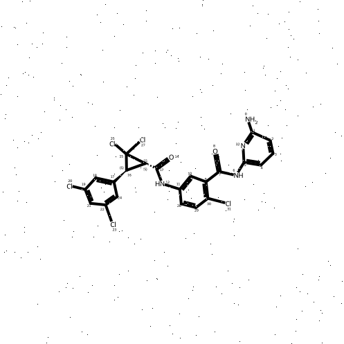 Nc1cccc(NC(=O)c2cc(NC(=O)[C@@H]3[C@@H](c4cc(Cl)cc(Cl)c4)C3(Cl)Cl)ccc2Cl)n1